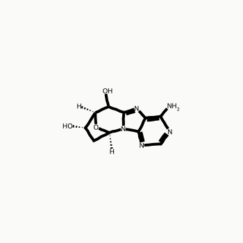 Nc1ncnc2c1nc1n2[C@H]2C[C@H](O)[C@H](O2)C1O